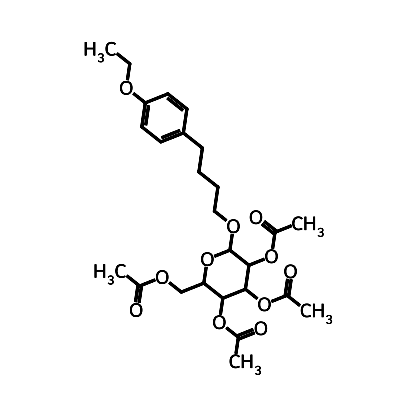 CCOc1ccc(CCCCOC2OC(COC(C)=O)C(OC(C)=O)C(OC(C)=O)C2OC(C)=O)cc1